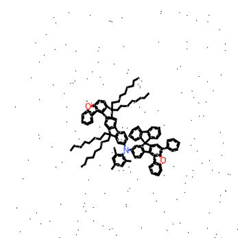 CCCCCCCCC1(CCCCCCCC)c2cc(N(c3ccc4c(c3)C3(c5ccccc5-c5ccccc53)c3cc(-c5ccccc5)c5oc6ccccc6c5c3-4)c3c(C)cc(C)cc3C)ccc2-c2cc3c(cc21)-c1c(ccc2oc4ccccc4c12)C3(CCCCCCCC)CCCCCCCC